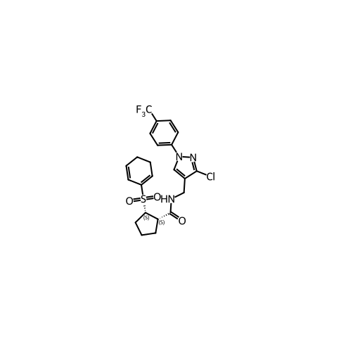 O=C(NCc1cn(-c2ccc(C(F)(F)F)cc2)nc1Cl)[C@@H]1CCC[C@@H]1S(=O)(=O)C1=CCCC=C1